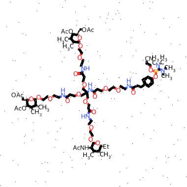 CC[C@H]1O[C@@H](OCCOCCNC(=O)CCOCC(COCCC(=O)NCCOCCO[C@@H]2O[C@H](COC(C)=O)[C@H](OC(C)=O)[C@H](C)[C@H]2C)(COCCC(=O)NCCOCCO[C@@H]2O[C@H](COC(C)=O)[C@H](OC(C)=O)[C@H](C)[C@H]2C)NC(=O)CCOCCOCCNC(=O)CCc2ccc(OP(OCCC#N)C(N(C)C)N(C)C)cc2)[C@H](NC(C)=O)[C@@H](C)[C@H]1C